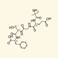 C[C@@H](O)[C@H](NC(=O)CNC(=O)[C@H](CCC(=O)O)NC(=O)C(C)(C)N)C(=O)N[C@@H](Cc1ccccc1)C(=O)O